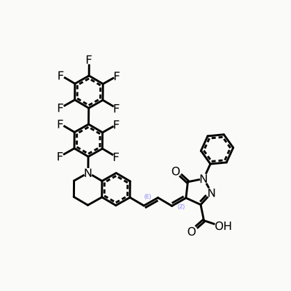 O=C(O)C1=NN(c2ccccc2)C(=O)/C1=C\C=C\c1ccc2c(c1)CCCN2c1c(F)c(F)c(-c2c(F)c(F)c(F)c(F)c2F)c(F)c1F